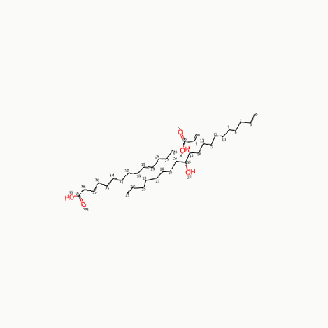 C=CC(=O)O.CCCCCCCCCCCC(O)CCCCCCCC.CCCCCCCCCCCCCC(=O)O